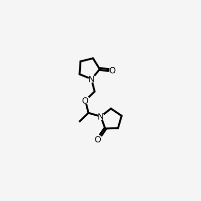 CC(OCN1CCCC1=O)N1CCCC1=O